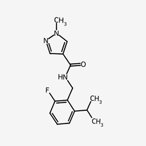 CC(C)c1cccc(F)c1CNC(=O)c1cnn(C)c1